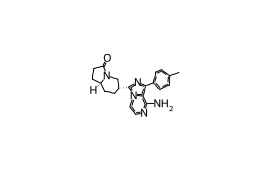 Cc1ccc(-c2nc([C@@H]3CC[C@H]4CCC(=O)N4C3)n3ccnc(N)c23)cc1